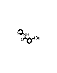 CC(C)(C)c1cccc(C(=O)Nc2cccnc2)c1